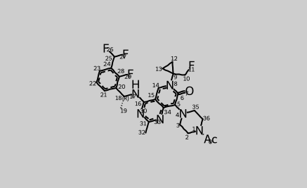 CC(=O)N1CCN(c2c(=O)n(C3(CF)CC3)cc3c(N[C@H](C)c4cccc(C(F)F)c4F)nc(C)nc23)CC1